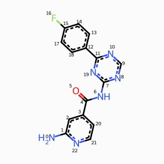 Nc1cc(C(=O)Nc2ncnc(-c3ccc(F)cc3)n2)ccn1